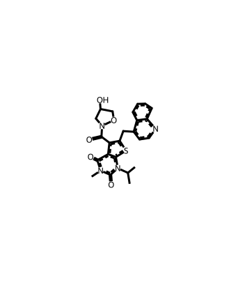 CC(C)n1c(=O)n(C)c(=O)c2c(C(=O)N3CC(O)CO3)c(Cc3ccnc4ccccc34)sc21